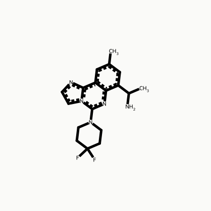 Cc1cc(C(C)N)c2nc(N3CCC(F)(F)CC3)n3ccnc3c2c1